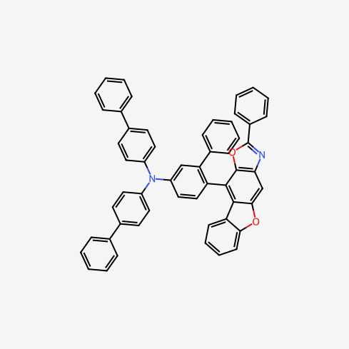 c1ccc(-c2ccc(N(c3ccc(-c4ccccc4)cc3)c3ccc(-c4c5oc(-c6ccccc6)nc5cc5oc6ccccc6c45)c(-c4ccccc4)c3)cc2)cc1